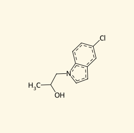 CC(O)Cn1ccc2cc(Cl)ccc21